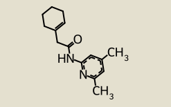 Cc1cc(C)nc(NC(=O)CC2=CCCCC2)c1